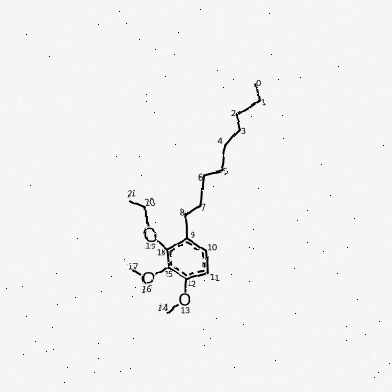 CCCCCCCCCc1ccc(OC)c(OC)c1OCC